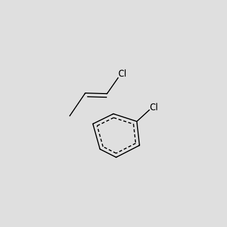 CC=CCl.Clc1ccccc1